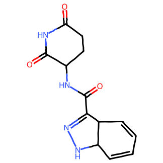 O=C1CCC(NC(=O)C2=NNC3C=CC=CC23)C(=O)N1